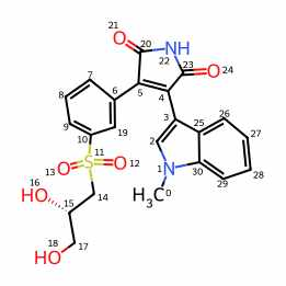 Cn1cc(C2=C(c3cccc(S(=O)(=O)C[C@@H](O)CO)c3)C(=O)NC2=O)c2ccccc21